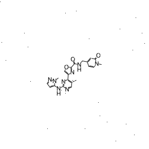 Cc1cnc(Nc2ccnn2C)nc1-c1coc(C(=O)NCc2ccn(C)c(=O)c2)n1